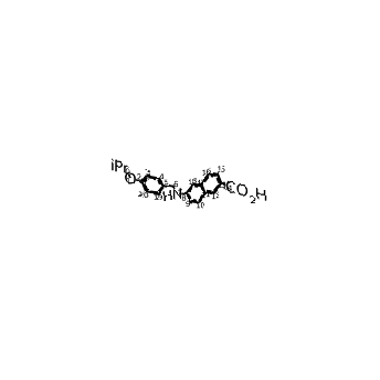 CC(C)Oc1ccc(CNc2ccc3cc(C(=O)O)ccc3c2)cc1